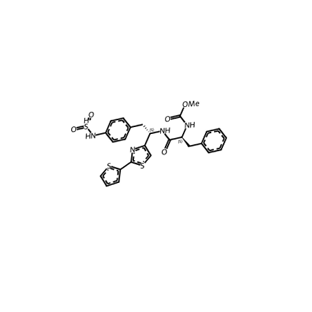 COC(=O)N[C@@H](Cc1ccccc1)C(=O)N[C@@H](Cc1ccc(N[SH](=O)=O)cc1)c1csc(-c2cccs2)n1